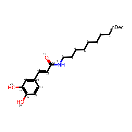 CCCCCCCCCCCCCCCCCCNC(=O)C=Cc1ccc(O)c(O)c1